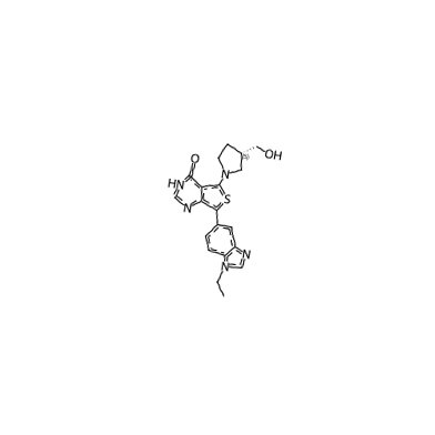 CCn1cnc2cc(-c3sc(N4CC[C@H](CO)C4)c4c(=O)[nH]cnc34)ccc21